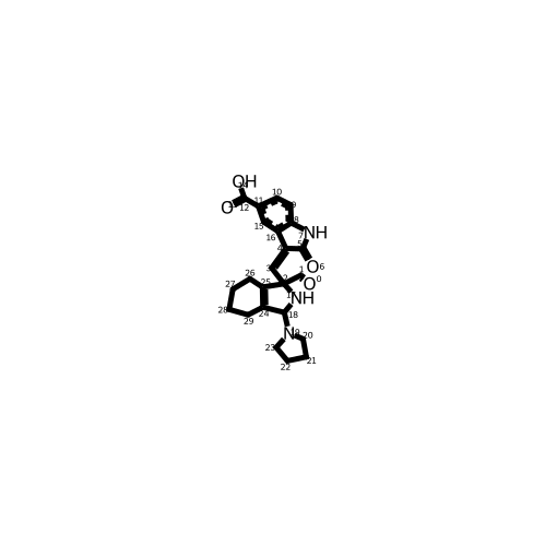 O=CC1(C=C2C(=O)Nc3ccc(C(=O)O)cc32)NC(N2CCCC2)C2=C1CCCC2